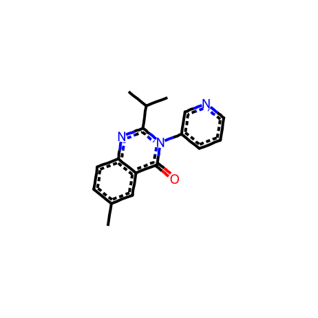 Cc1ccc2nc(C(C)C)n(-c3cccnc3)c(=O)c2c1